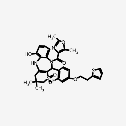 Cc1nc(C(=O)N2c3cccc(O)c3NC3=C(C2c2ccc(OCCc4cccs4)cc2F)S(=O)(=O)CC(C)(C)C3)c(C)o1